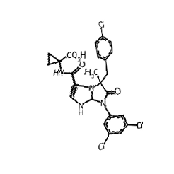 C[C@@]1(Cc2ccc(Cl)cc2)C(=O)N(c2cc(Cl)cc(Cl)c2)C2NC=C(C(=O)NC3(C(=O)O)CC3)N21